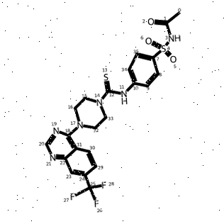 CC(=O)NS(=O)(=O)c1ccc(NC(=S)N2CCN(c3ncnc4cc(C(F)(F)F)ccc34)CC2)cc1